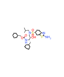 CC(C)CN(C[C@H](O)[C@H](Cc1ccccc1)NC(=O)OCc1ccccc1)S(=O)(=O)c1ccc2nc(N)sc2c1